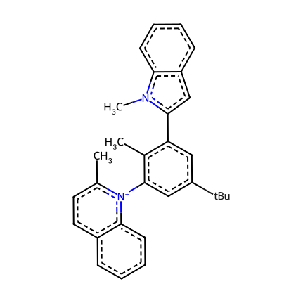 Cc1c(-c2cc3ccccc3n2C)cc(C(C)(C)C)cc1-[n+]1c(C)ccc2ccccc21